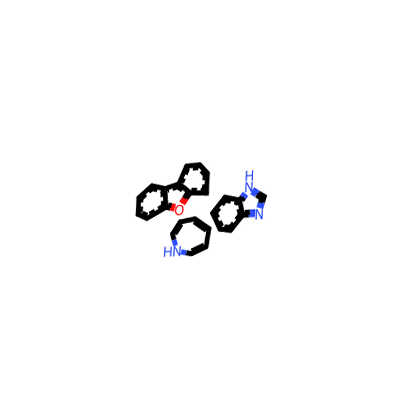 C1=CC=CNC=C1.c1ccc2[nH]cnc2c1.c1ccc2c(c1)oc1ccccc12